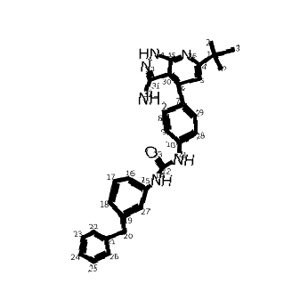 CC(C)(C)c1cc(-c2ccc(NC(=O)Nc3cccc(Cc4ccccc4)c3)cc2)c2c(N)n[nH]c2n1